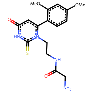 COc1ccc(-c2cc(=O)[nH]c(=S)n2CCNC(=O)CN)c(OC)c1